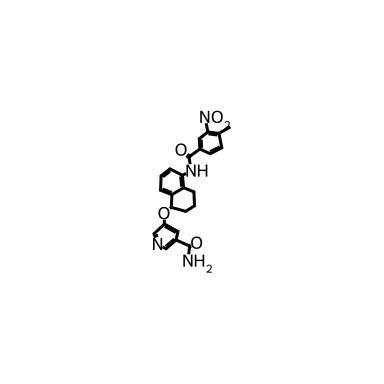 Cc1ccc(C(=O)Nc2cccc3c2CCCC3Oc2cncc(C(N)=O)c2)cc1[N+](=O)[O-]